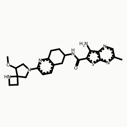 COC1CN(c2ccc3c(n2)CCC(NC(=O)c2sc4nc(C)cnc4c2N)C3)CC12CCN2